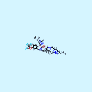 Cc1cc(CN2CC3C(C2)C3CN(Cc2cccc(OC(F)(F)F)c2)C(=O)Oc2cn(C)cn2)n(C)n1